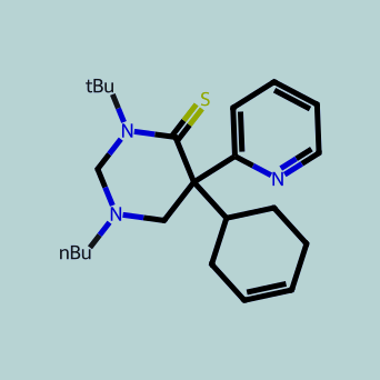 CCCCN1CN(C(C)(C)C)C(=S)C(c2ccccn2)(C2CC=CCC2)C1